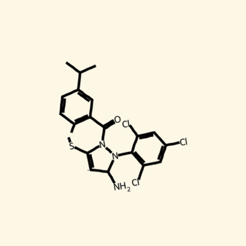 CSC1=[C]C(N)N(c2c(Cl)cc(Cl)cc2Cl)N1C(=O)c1cc(C(C)C)ccc1C